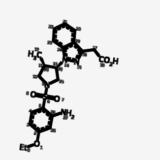 CCOc1ccc(S(=O)(=O)N2C[C@@H](C)[C@@H](n3nc(CC(=O)O)c4ccccc43)C2)c(N)c1